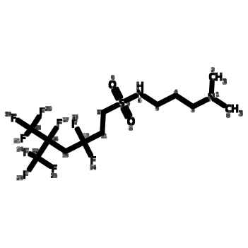 CN(C)CCCNS(=O)(=O)CCC(F)(F)CC(F)(C(F)(F)F)C(F)(F)F